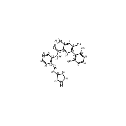 Nc1cc(F)c(-c2c(F)cccc2F)nc1C(=O)Nc1cnccc1OCC1CCNC1